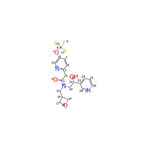 O=C(Cc1ccc(OC(F)(F)F)cn1)N(CC1COC1)CC(O)c1cccnc1